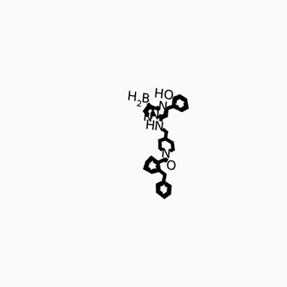 Bc1cnn2c(NCC3CCN(C(=O)c4ccccc4Cc4ccccc4)CC3)cc(-c3ccccc3O)nc12